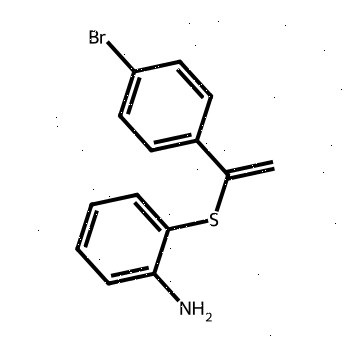 C=C(Sc1ccccc1N)c1ccc(Br)cc1